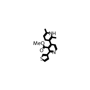 COC(=O)c1c(C2=C(C)NC(C)=CC2)ccnc1-c1ccsc1